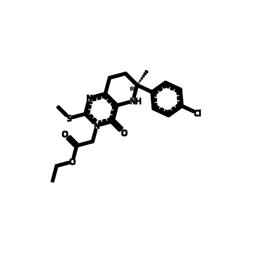 CCOC(=O)Cn1c(SC)nc2c(c1=O)N[C@](C)(c1ccc(Cl)cc1)CC2